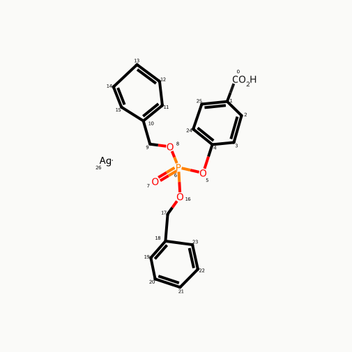 O=C(O)c1ccc(OP(=O)(OCc2ccccc2)OCc2ccccc2)cc1.[Ag]